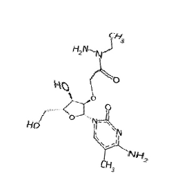 CCN(N)C(=O)CO[C@@H]1[C@H](O)[C@@H](CO)O[C@H]1n1cc(C)c(N)nc1=O